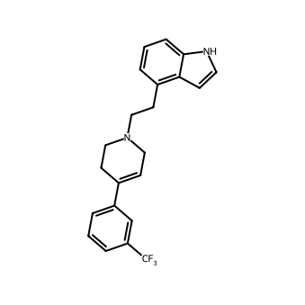 FC(F)(F)c1cccc(C2=CCN(CCc3cccc4[nH]ccc34)CC2)c1